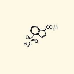 CS(=O)(=O)c1cccc2c1C=C[C@@H]2C(=O)O